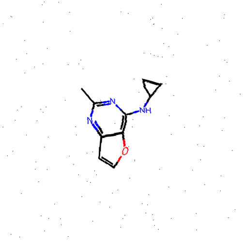 Cc1nc(NC2CC2)c2occc2n1